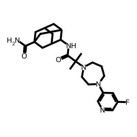 CC(C)(C(=O)NC1C2CC3CC1CC(C(N)=O)(C3)C2)N1CCCN(c2cncc(F)c2)CC1